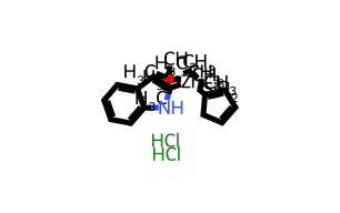 C[C](C)(C)[Zr]([CH3])([CH3])([CH3])([CH3])([CH3])([CH3])(=[SiH2])([C]1=CC=CC1)[c]1cc2ccccc2[nH]1.Cl.Cl